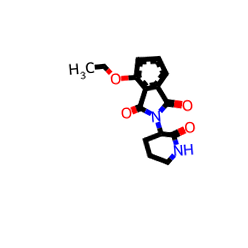 CCOc1cccc2c1C(=O)N(C1CCCNC1=O)C2=O